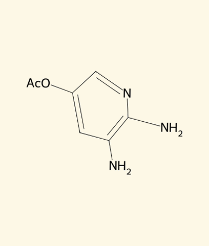 CC(=O)Oc1cnc(N)c(N)c1